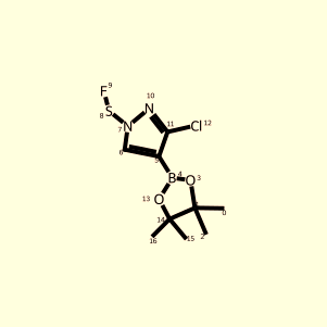 CC1(C)OB(c2cn(SF)nc2Cl)OC1(C)C